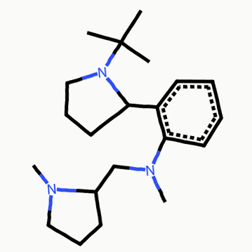 CN(CC1CCCN1C)c1ccccc1C1CCCN1C(C)(C)C